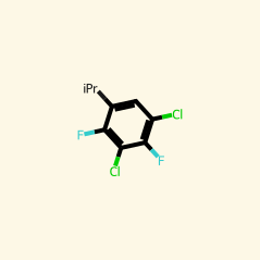 CC(C)c1cc(Cl)c(F)c(Cl)c1F